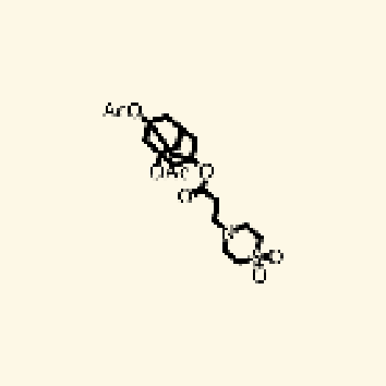 CC(=O)OC12CC3CC(OC(C)=O)(C1)CC(OC(=O)CCN1CCS(=O)(=O)CC1)(C3)C2